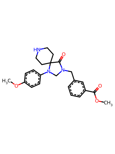 COC(=O)c1cccc(CN2CN(c3ccc(OC)cc3)C3(CCNCC3)C2=O)c1